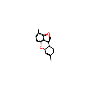 CC1=CC2Oc3ccc(C)c4occ(c34)C2C=C1